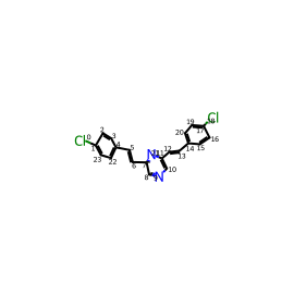 Clc1ccc(C=Cc2cncc(C=Cc3ccc(Cl)cc3)n2)cc1